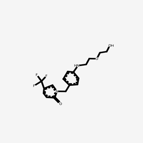 O=c1ccc(C(F)(F)F)cn1Cc1ccc(NCCOCCO)cc1